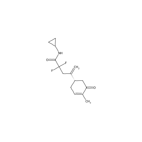 C=C(CC(F)(F)C(=O)NC1CC1)[C@H]1CC=C(C)C(=O)C1